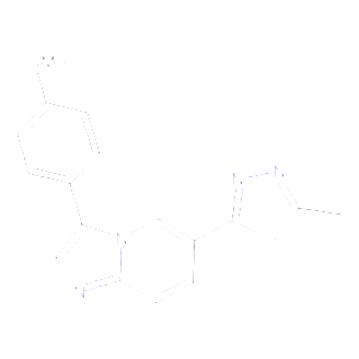 CSc1ccc(-c2cnc3ccc(-c4nnc(C)o4)cn23)cc1